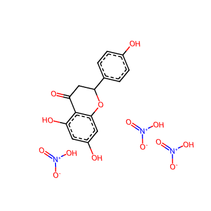 O=C1CC(c2ccc(O)cc2)Oc2cc(O)cc(O)c21.O=[N+]([O-])O.O=[N+]([O-])O.O=[N+]([O-])O